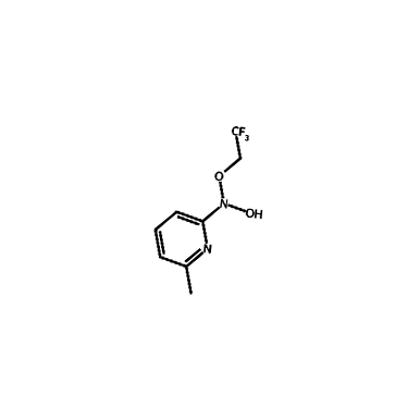 Cc1cccc(N(O)OCC(F)(F)F)n1